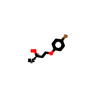 C[C@H](O)CCOc1ccc(Br)cc1